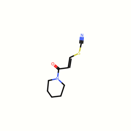 N#CS/C=C/C(=O)N1CCCCC1